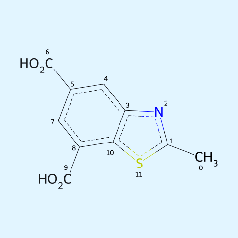 Cc1nc2cc(C(=O)O)cc(C(=O)O)c2s1